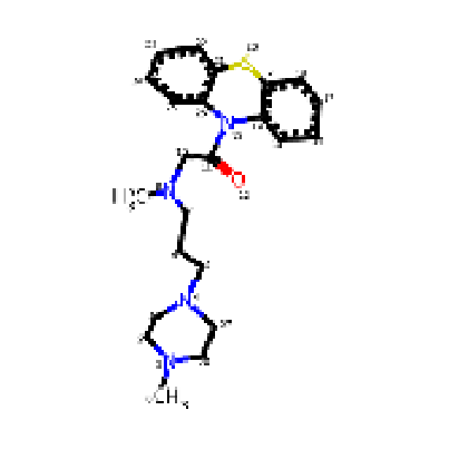 CN1CCN(CCCN(C)CC(=O)N2c3ccccc3Sc3ccccc32)CC1